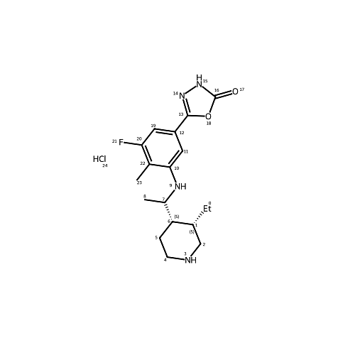 CC[C@@H]1CNCC[C@@H]1C(C)Nc1cc(-c2n[nH]c(=O)o2)cc(F)c1C.Cl